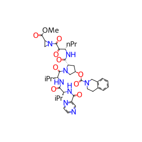 CCC[C@H](NC(=O)[C@@H]1C[C@@H](OC(=O)N2CCc3ccccc3C2)CN1C(=O)[C@@H](NC(=O)[C@@H](NC(=O)c1cnccn1)C(C)C)C(C)C)C(=O)C(=O)N1CC1C(=O)OC